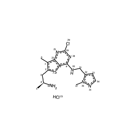 Cc1c(C[C@H](C)N)sc2c(NCc3ccnn3C)nc(Cl)nc12.Cl